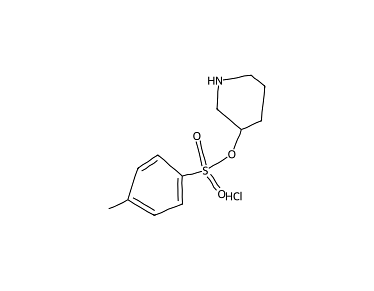 Cc1ccc(S(=O)(=O)OC2CCCNC2)cc1.Cl